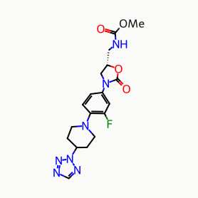 COC(=O)NC[C@H]1CN(c2ccc(N3CCC(n4ncnn4)CC3)c(F)c2)C(=O)O1